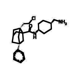 NC[C@H]1CC[C@@H](NC(=O)C23CC4C[C@](c5ccccc5)(C2)C[C@@]3(CCCl)C4)CC1